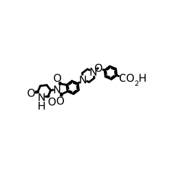 O=C1CCC(N2C(=O)c3ccc(N4CCN(Oc5ccc(C(=O)O)cc5)CC4)cc3C2=O)C(=O)N1